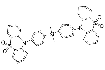 C[Si](C)(c1ccc(N2c3ccccc3S(=O)(=O)c3ccccc32)cc1)c1ccc(N2c3ccccc3S(=O)(=O)c3ccccc32)cc1